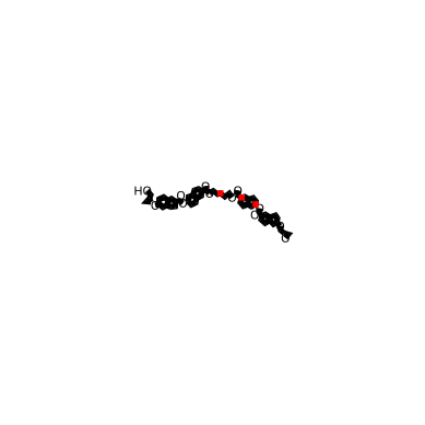 O=C(OCCCCCOC(=O)c1ccc2cc(OC(=O)c3ccc4cc(OC5CC5CO)ccc4c3)ccc2c1)c1ccc2cc(OC(=O)c3ccc4cc(OCC5CO5)ccc4c3)ccc2c1